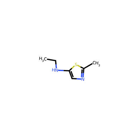 CCNc1cnc(C)s1